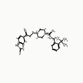 CC(C)(C)c1ccccc1COC(=O)N1CCN(CCC(=O)c2ccc3[nH]c(=O)oc3c2)CC1